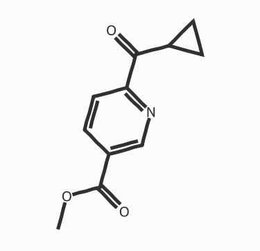 COC(=O)c1ccc(C(=O)C2CC2)nc1